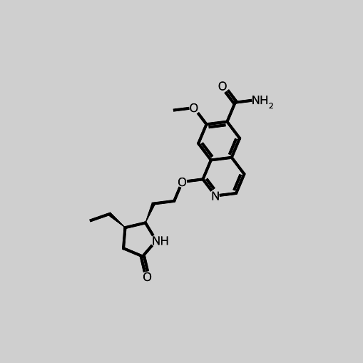 CC[C@@H]1CC(=O)N[C@@H]1CCOc1nccc2cc(C(N)=O)c(OC)cc12